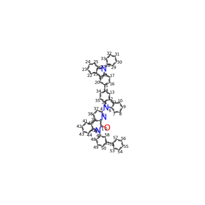 O=c1c2nc(-n3c4ccccc4c4cc(-c5ccc6c(c5)c5ccccc5n6-c5ccccc5)ccc43)ccc2c2ccccc2n1-c1cccc(-c2ccccc2)c1